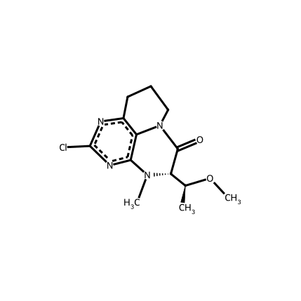 CO[C@@H](C)[C@H]1C(=O)N2CCCc3nc(Cl)nc(c32)N1C